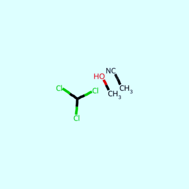 CC#N.CO.ClC(Cl)Cl